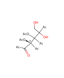 CC(=O)OC(C(C)=O)(C(O)(CO)C(C)=O)[C@](OC(C)=O)(C(C)=O)C(=O)C(C)=O